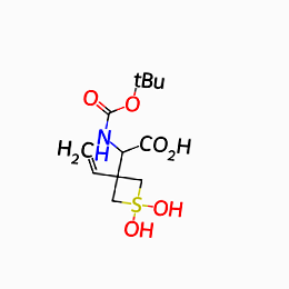 C=CC1(C(NC(=O)OC(C)(C)C)C(=O)O)CS(O)(O)C1